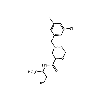 CC(C)C[C@H](NC(=O)C1CN(Cc2cc(Cl)cc(Cl)c2)CCO1)C(=O)O